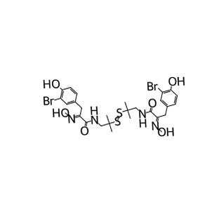 CC(C)(CNC(=O)/C(Cc1ccc(O)c(Br)c1)=N/O)SSC(C)(C)CNC(=O)/C(Cc1ccc(O)c(Br)c1)=N/O